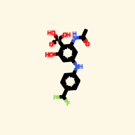 CC(=O)Nc1cc(Nc2ccc(C(F)F)cc2)cc(O)c1[As](=O)(O)O